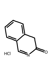 Cl.O=C1Cc2ccccc2C=N1